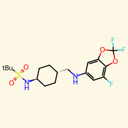 CC(C)(C)S(=O)(=O)N[C@H]1CC[C@H](CNc2cc(F)c3c(c2)OC(F)(F)O3)CC1